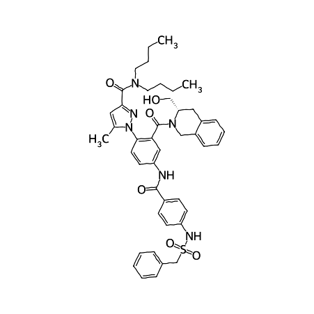 CCCCN(CCCC)C(=O)c1cc(C)n(-c2ccc(NC(=O)c3ccc(NS(=O)(=O)Cc4ccccc4)cc3)cc2C(=O)N2Cc3ccccc3C[C@H]2CO)n1